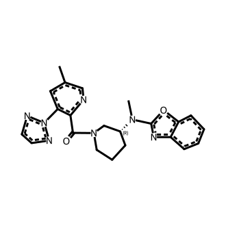 Cc1cnc(C(=O)N2CCC[C@@H](N(C)c3nc4ccccc4o3)C2)c(-n2nccn2)c1